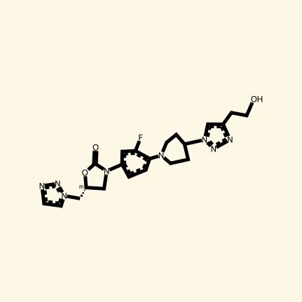 O=C1O[C@@H](Cn2ccnn2)CN1c1ccc(N2CCC(n3cc(CCO)nn3)CC2)c(F)c1